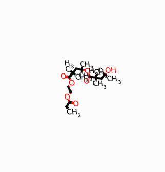 C=CC(=O)OCCOC(=O)C(C)(C)CC(C)(C)OC(=O)C(C)(C)CC(C)(C)O